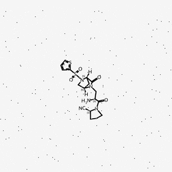 N#C[C@@H]1CCCN1C(=O)[C@@H](N)CN1C(=O)[C@@H]2C[C@H]1CN2S(=O)(=O)c1cccs1